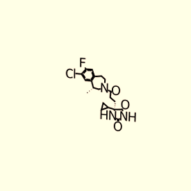 C[C@H]1CN(C(=O)CC[C@@]2(C3CC3)NC(=O)NC2=O)CCc2cc(F)c(Cl)cc21